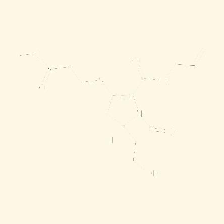 C=CCOC(=O)C1=C(SCCC(=O)OC)S[C@@H]2[C@@H]([C@@H](C)O)C(=O)N12